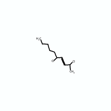 CCCCCC(Cl)/C=C/C(C)Cl